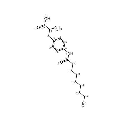 N[C@@H](Cc1ccc(NC(=O)CCCCCCCBr)cc1)C(=O)O